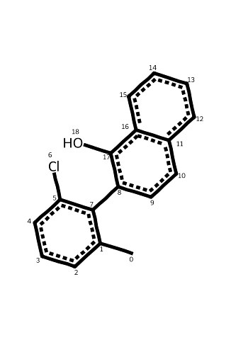 Cc1cccc(Cl)c1-c1ccc2ccccc2c1O